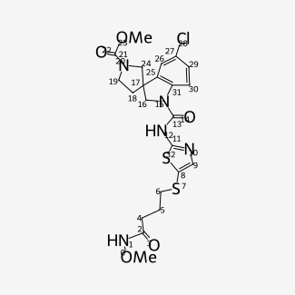 CONC(=O)CCCSc1cnc(NC(=O)N2CC3(CCN(C(=O)OC)C3)c3cc(Cl)ccc32)s1